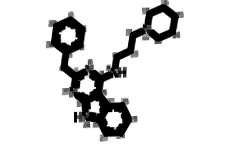 c1ccc(Cc2nc(NCCCN3CCCCC3)c3c(n2)[nH]c2ccccc23)cc1